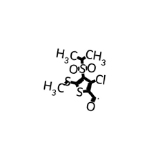 CSc1sc([C]=O)c(Cl)c1S(=O)(=O)C(C)C